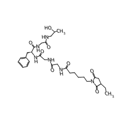 CCC1CC(=O)N(CCCCCC(=O)NCC(=O)NCC(=O)N[C@@H](Cc2ccccc2)C(=O)NCC(=O)NCC(C)O)C1=O